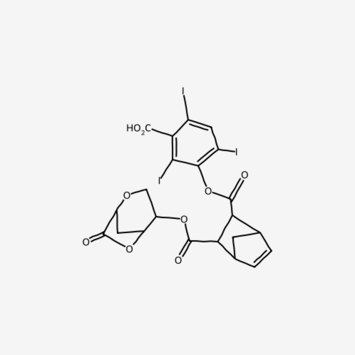 O=C(O)c1c(I)cc(I)c(OC(=O)C2C3C=CC(C3)C2C(=O)OC2COC3CC2OC3=O)c1I